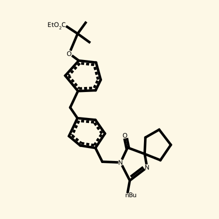 CCCCC1=NC2(CCCC2)C(=O)N1Cc1ccc(Cc2cccc(OC(C)(C)C(=O)OCC)c2)cc1